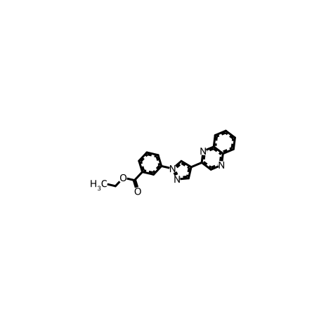 CCOC(=O)c1cccc(-n2cc(-c3cnc4ccccc4n3)cn2)c1